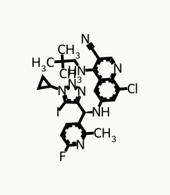 Cc1nc(F)ccc1[C@H](Nc1cc(Cl)c2ncc(C#N)c(NCC(C)(C)C)c2c1)c1nnn(C2CC2)c1I